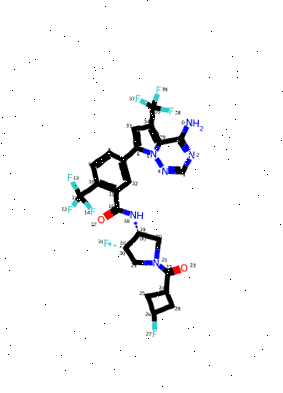 Nc1ncnn2c(-c3ccc(C(F)(F)F)c(C(=O)N[C@@H]4CN(C(=O)C5CC(F)C5)C[C@@H]4F)c3)cc(C(F)(F)F)c12